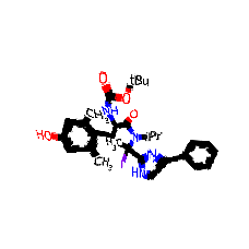 Cc1cc(O)cc(C)c1CC(NC(=O)OC(C)(C)C)C(=O)N(C(C)C)C(C)(I)c1nc(-c2ccccc2)c[nH]1